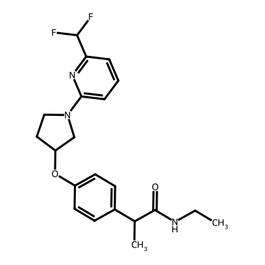 CCNC(=O)C(C)c1ccc(OC2CCN(c3cccc(C(F)F)n3)C2)cc1